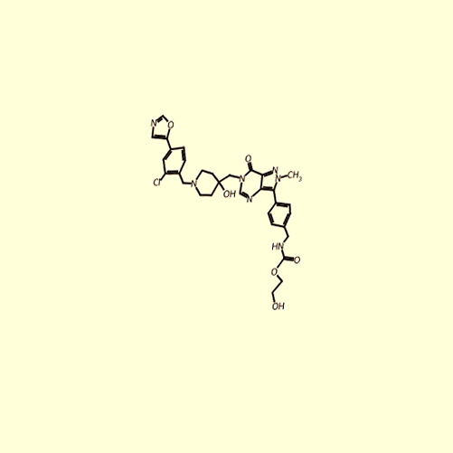 Cn1nc2c(=O)n(CC3(O)CCN(Cc4ccc(-c5cnco5)cc4Cl)CC3)cnc2c1-c1ccc(CNC(=O)OCCO)cc1